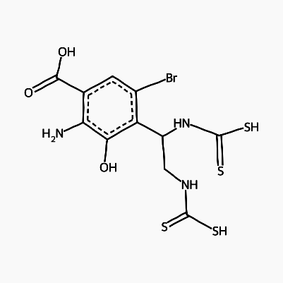 Nc1c(C(=O)O)cc(Br)c(C(CNC(=S)S)NC(=S)S)c1O